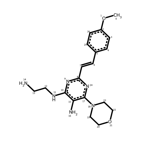 COc1ccc(C=Cc2nc(NCCN)c(N)c(N3CCOCC3)n2)cc1